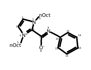 CCCCCCCCn1cc[n+](CCCCCCCC)c1/C([O-])=N/c1ccccc1